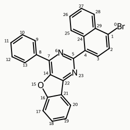 Brc1ccc(-c2nc(-c3ccccc3)c3oc4ccccc4c3n2)c2ccccc12